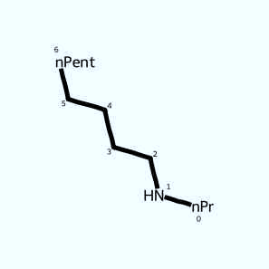 [CH2]CCNCCCCCCCCC